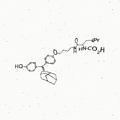 CC(C)CC(NC(=O)O)C(=O)NCCCCOc1ccc(C(=C2C3CC4CC(C3)CC2C4)c2ccc(O)cc2)cc1